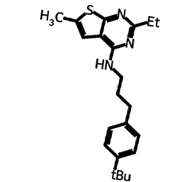 CCc1nc(NCCCc2ccc(C(C)(C)C)cc2)c2cc(C)sc2n1